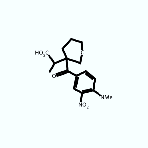 CNc1ccc(C(=O)C2(C(C)C(=O)O)CCCCC2)cc1[N+](=O)[O-]